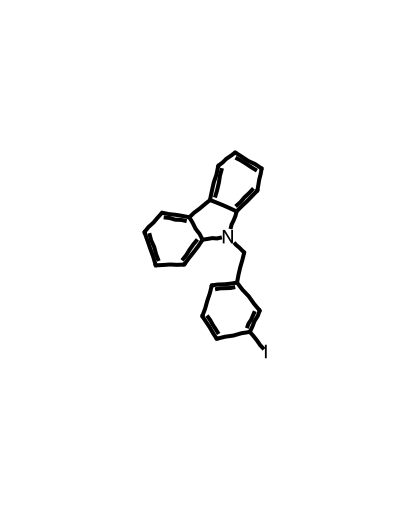 Ic1cccc(Cn2c3ccccc3c3ccccc32)c1